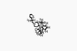 [2H]c1c([2H])c([2H])c(N(C(=O)C([2H])([2H])C([2H])([2H])[2H])C2(OC([2H])([2H])[2H])CCN(CC([2H])([2H])c3cccs3)CC2)c([2H])c1[2H]